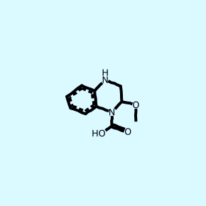 COC1CNc2ccccc2N1C(=O)O